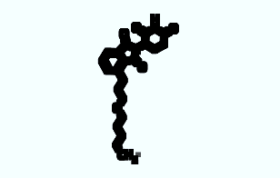 [CH2]CCCCOCCCc1cccc2c1C(=O)N(C1CCC(=O)NC1=O)C2=O